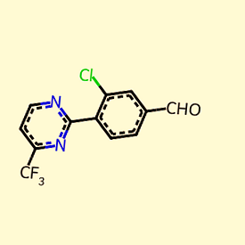 O=Cc1ccc(-c2nccc(C(F)(F)F)n2)c(Cl)c1